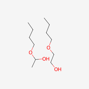 CCCCOC(C)O.CCCCOCCO